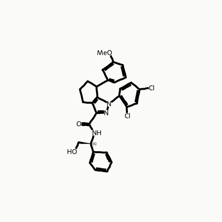 COc1cccc(C2CCCc3c(C(=O)N[C@H](CO)c4ccccc4)nn(-c4ccc(Cl)cc4Cl)c32)c1